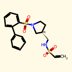 C=CS(=O)(=O)NC[C@H]1CCN(S(=O)(=O)c2ccccc2-c2ccccc2)C1